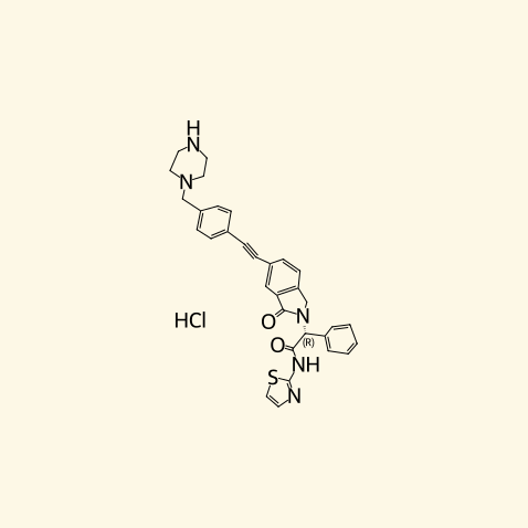 Cl.O=C(Nc1nccs1)[C@@H](c1ccccc1)N1Cc2ccc(C#Cc3ccc(CN4CCNCC4)cc3)cc2C1=O